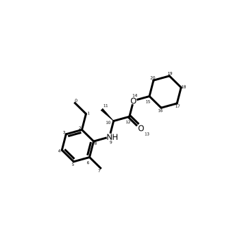 CCc1cccc(C)c1N[C@@H](C)C(=O)OC1CCCCC1